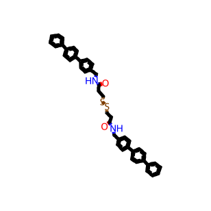 O=C(CCSSCCC(=O)NCc1ccc(-c2ccc(-c3ccccc3)cc2)cc1)NCc1ccc(-c2ccc(-c3ccccc3)cc2)cc1